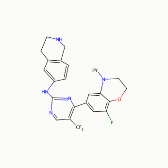 CC(C)N1CCOc2c(F)cc(-c3nc(Nc4ccc5c(c4)CCNC5)ncc3C(F)(F)F)cc21